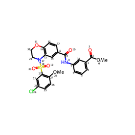 COC(=O)c1cccc(NC(=O)c2ccc3c(c2)N(S(=O)(=O)c2cc(Cl)ccc2OC)CCO3)c1